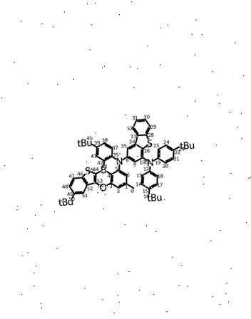 Cc1cc2c3c(c1)N(c1cc(N(c4ccc(C(C)(C)C)cc4)c4ccc(C(C)(C)C)cc4)c4sc5ccccc5c4c1)c1ccc(C(C)(C)C)cc1B3c1sc3ccc(C(C)(C)C)cc3c1O2